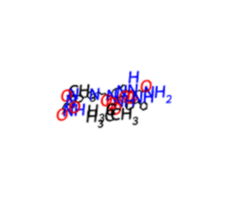 Cn1c(=O)n(C2CCC(=O)NC2=O)c2ccc(C3CCN(CCCC(=O)N4CCC5=CC[C@@H](C(=O)N[C@@H](CCC(N)=O)C(=O)NC(c6ccccc6)c6ccccc6)N5C(=O)[C@@H](NC(=O)OC(C)(C)C)C4)CC3)cc21